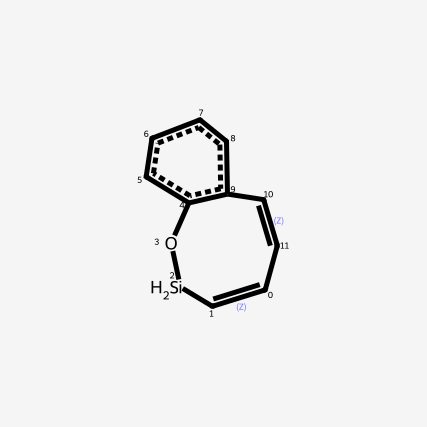 C1=C\[SiH2]Oc2ccccc2\C=C/1